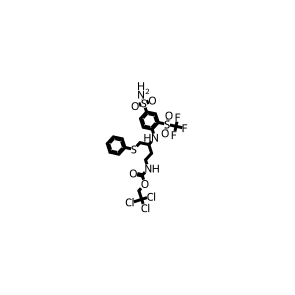 NS(=O)(=O)c1ccc(NC(CCNC(=O)OCC(Cl)(Cl)Cl)CSc2ccccc2)c(S(=O)(=O)C(F)(F)F)c1